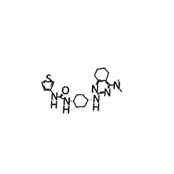 CN(C)c1nc(N[C@H]2CC[C@@H](NC(=O)Nc3ccsc3)CC2)nc2c1CCCC2